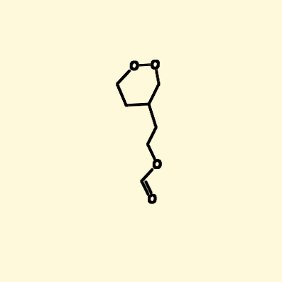 O=COCCC1CCOOC1